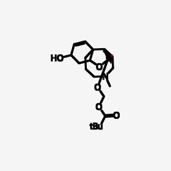 CN1CCCC23C=CC(O)CC2Oc2c(OCOC(=O)C(C)(C)C)ccc(c23)C1